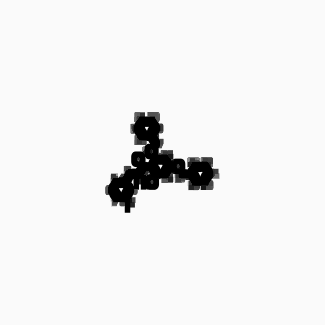 O=C(C=Cc1cccc(F)c1)c1c(O)cc(OCc2ccccc2)cc1OCc1ccccc1